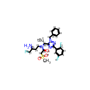 CC(C)(C)[C@H](c1nc(-c2cc(F)ccc2F)nn1Cc1ccccc1)N(CCC(N)CF)C(=O)CS(C)(=O)=O